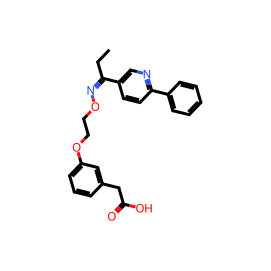 CCC(=NOCCOc1cccc(CC(=O)O)c1)c1ccc(-c2ccccc2)nc1